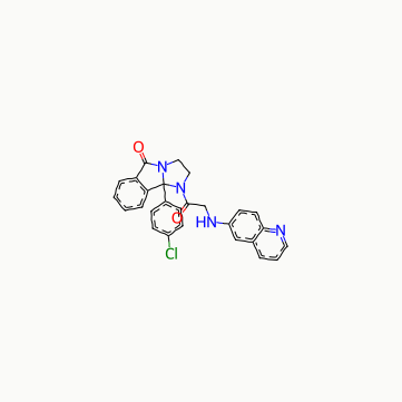 O=C(CNc1ccc2ncccc2c1)N1CCN2C(=O)c3ccccc3C12c1ccc(Cl)cc1